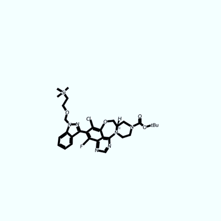 CC(C)(C)OC(=O)N1CCN2c3ncnc4c(F)c(-c5nn(COCC[Si](C)(C)C)c6ccccc56)c(Cl)c(c34)OC[C@@H]2C1